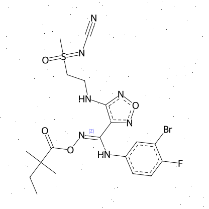 CCC(C)(C)C(=O)O/N=C(\Nc1ccc(F)c(Br)c1)c1nonc1NCCS(C)(=O)=NC#N